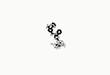 CC(C)[Si](OCc1ncc(NC(=O)c2ccc(C(F)(F)F)c(-c3ncccn3)c2)c(-c2ccccc2)n1)(C(C)C)C(C)C